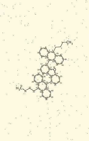 CCCCc1c2ccccc2c(-c2cccc3c2oc2cccc(-c4c5ccccc5c(CCCC)c5ccccc45)c23)c2ccccc12